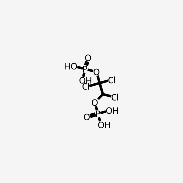 O=P(O)(O)OC(Cl)C(Cl)(Cl)OP(=O)(O)O